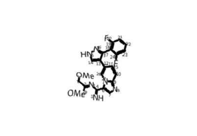 COC/C(=N/C(=N)c1cnc2ccc(-c3c[nH]nc3-c3c(F)cccc3F)cn12)OC